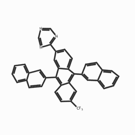 FC(F)(F)c1ccc2c(-c3ccc4ccccc4c3)c3cc(-c4ncncn4)ccc3c(-c3ccc4ccccc4c3)c2c1